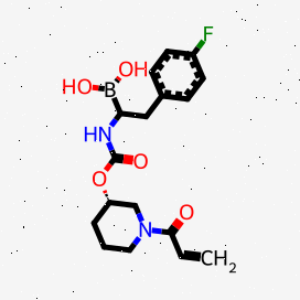 C=CC(=O)N1CCC[C@H](OC(=O)NC(Cc2ccc(F)cc2)B(O)O)C1